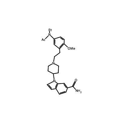 CCN(C(C)=O)c1ccc(OC)c(CCN2CCC(n3ccc4ccc(C(N)=O)cc43)CC2)c1